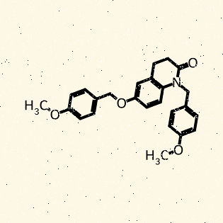 COc1ccc(COc2ccc3c(c2)CCC(=O)N3Cc2ccc(OC)cc2)cc1